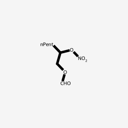 CCCCCC(COC=O)O[N+](=O)[O-]